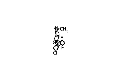 Cc1nnc(C[C@H]2CC[C@@](c3cc(F)ccc3F)(S(=O)(=O)c3ccc(Cl)cc3)CC2)[nH]1